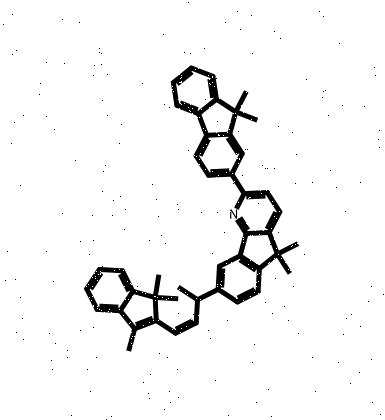 CC1=C(/C=C\C(C)c2ccc3c(c2)-c2nc(-c4ccc5c(c4)C(C)(C)c4ccccc4-5)ccc2C3(C)C)C(C)(C)c2ccccc21